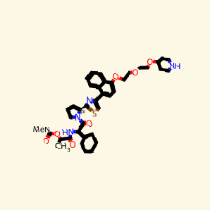 CNC(=O)OC(C)C(=O)NC(C(=O)N1CCC[C@H]1c1nc(-c2ccc(OCCOCCOC3CCNCC3)c3ccccc23)cs1)C1CCCCC1